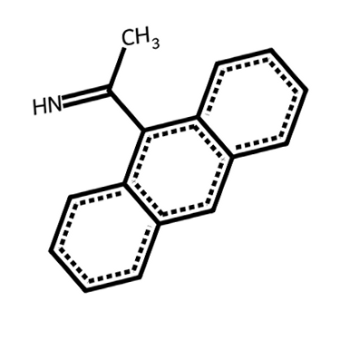 CC(=N)c1c2ccccc2cc2ccccc12